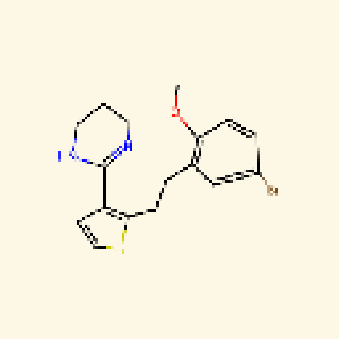 COc1ccc(Br)cc1CCc1sccc1C1=NCCCN1